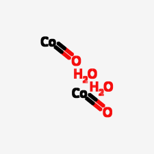 O.O.[O]=[Co].[O]=[Co]